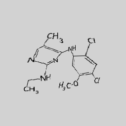 CCNc1ncc(C)c(Nc2cc(OC)c(Cl)cc2Cl)n1